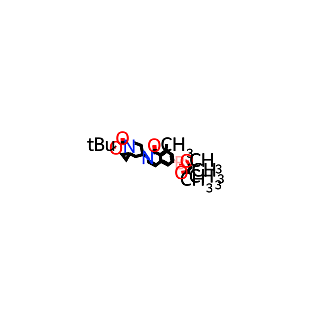 Cc1cc(B2OC(C)(C)C(C)(C)O2)cc2ccn(C3CCN(C(=O)OC(C)(C)C)C4(CC4)C3)c(=O)c12